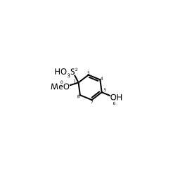 COC1(S(=O)(=O)O)C=CC(O)=CC1